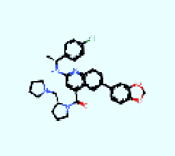 C[C@H](Nc1cc(C(=O)N2CCC[C@H]2CN2CCCC2)c2cc(-c3ccc4c(c3)OCO4)ccc2n1)c1ccc(Cl)cc1